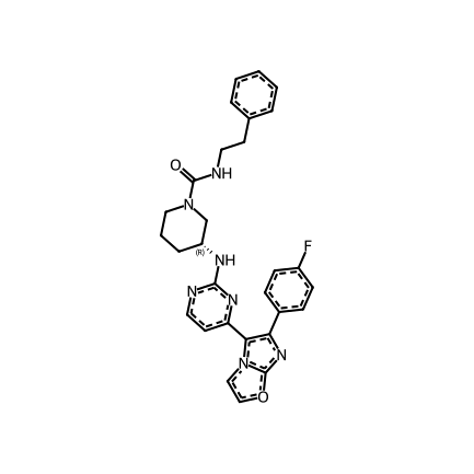 O=C(NCCc1ccccc1)N1CCC[C@@H](Nc2nccc(-c3c(-c4ccc(F)cc4)nc4occn34)n2)C1